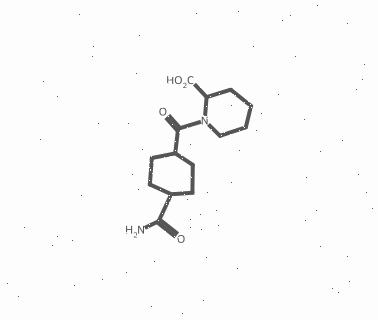 NC(=O)C1CCC(C(=O)N2CCCCC2C(=O)O)CC1